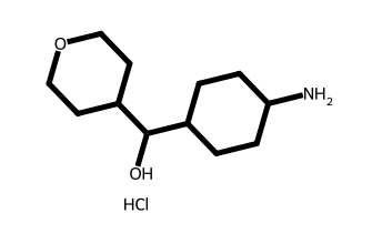 Cl.NC1CCC(C(O)C2CCOCC2)CC1